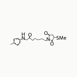 CSC1CC(=O)N(CCCCCC(=O)CNc2ccc(C)cc2)C1=O